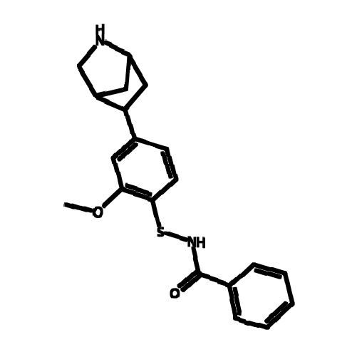 COc1cc(C2CC3CC2CN3)ccc1SNC(=O)c1ccccc1